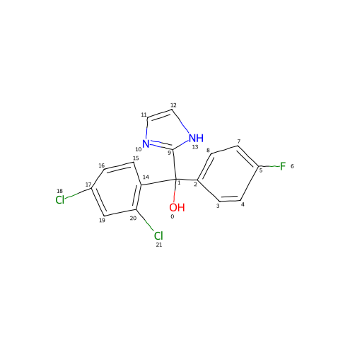 OC(c1ccc(F)cc1)(c1ncc[nH]1)c1ccc(Cl)cc1Cl